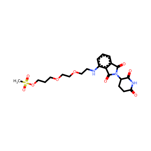 CS(=O)(=O)OCCCOCCOCCNc1cccc2c1C(=O)N(C1CCC(=O)NC1=O)C2=O